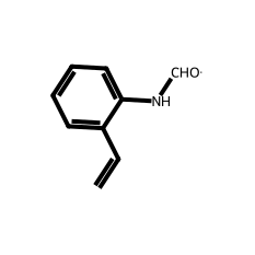 C=Cc1ccccc1N[C]=O